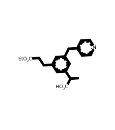 CCOC(=O)CCc1cc(Cc2ccncc2)cc(C(C)C(=O)O)c1